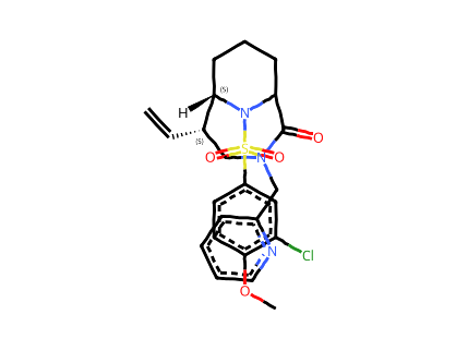 C=C[C@H]1CN(Cc2ccccn2)C(=O)C2CCC[C@@H]1N2S(=O)(=O)c1ccc(OC)c(Cl)c1